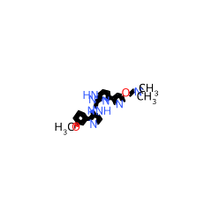 COc1cccc(-c2nccc3[nH]c(-c4n[nH]c5ccc(-c6cncc(OCCN(C)C)c6)nc45)nc23)c1